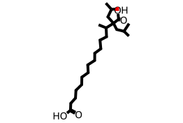 CC(C)CC(CC(C)C)(C(=O)O)C(C)CCCCCCCCCCCCC(=O)O